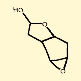 OC1CC2C(CC3OC32)O1